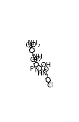 NS(=O)(=O)c1ccc(CNS(=O)(=O)c2cc(F)c3ncc(C(=O)NCc4ccc(Cl)cc4)c(O)c3c2)cc1